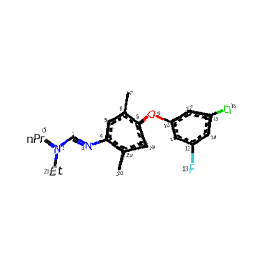 CCCN(C=Nc1cc(C)c(Oc2cc(F)cc(Cl)c2)cc1C)CC